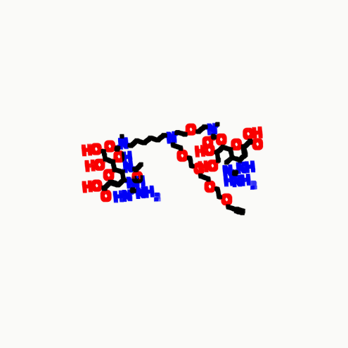 C#CCOCCOCCOCCOCCN(CCCCCCN(C)C(=O)O[C@@H]([C@@H]1OC(C(=O)O)=C[C@H](NC(=N)N)[C@H]1NC(C)=O)[C@H](O)CO)CCOCCN(C)C(=O)O[C@@H]([C@@H]1OC(C(=O)O)=C[C@H](NC(=N)N)[C@H]1C)[C@H](O)CO